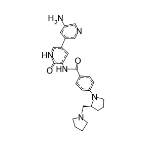 Nc1cncc(-c2c[nH]c(=O)c(NC(=O)c3ccc(N4CCC[C@H]4CN4CCCC4)cc3)c2)c1